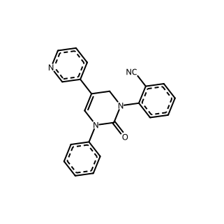 N#Cc1ccccc1N1CC(c2cccnc2)=CN(c2ccccc2)C1=O